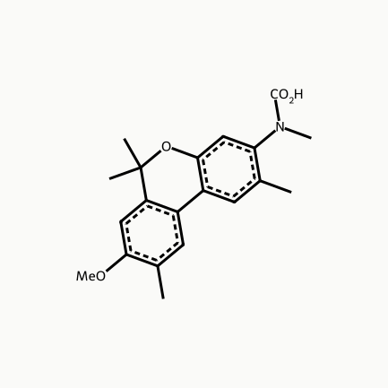 COc1cc2c(cc1C)-c1cc(C)c(N(C)C(=O)O)cc1OC2(C)C